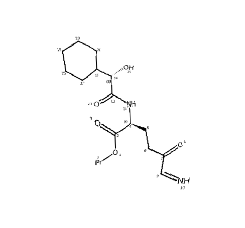 CC(C)OC(=O)[C@H](CCC(=O)C=N)NC(=O)[C@@H](O)C1CCCCC1